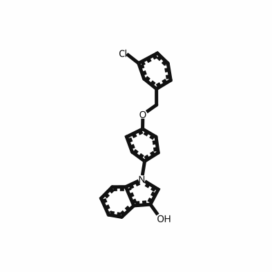 Oc1cn(-c2ccc(OCc3cccc(Cl)c3)cc2)c2ccccc12